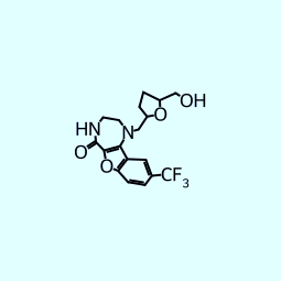 O=C1NCCN(CC2CCC(CO)O2)c2c1oc1ccc(C(F)(F)F)cc21